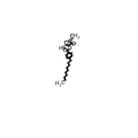 CCCCCCCCCCc1ccc(C(=O)OC(C(=O)OCC)C(C)S)cc1